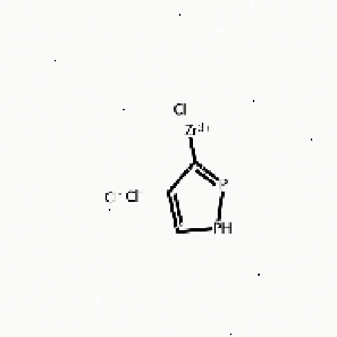 [Cl-].[Cl-].[Cl-].[Zr+3][c]1cc[pH]p1